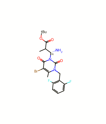 Cc1c(Br)c(=O)n([C@@H](N)C(C)C(=O)OC(C)(C)C)c(=O)n1Cc1c(F)cccc1F